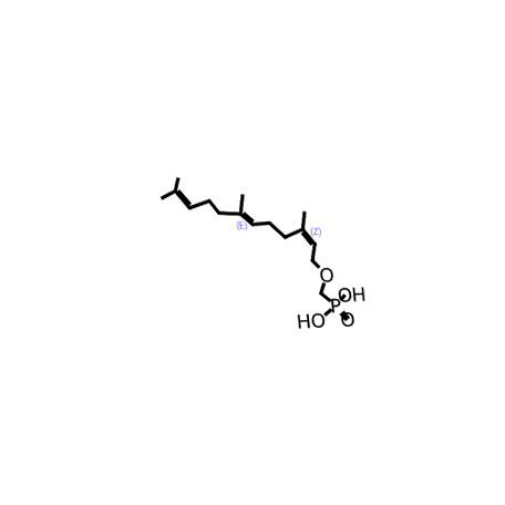 CC(C)=CCC/C(C)=C/CC/C(C)=C\COCP(=O)(O)O